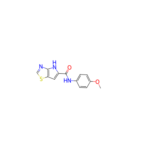 COc1ccc(NC(=O)c2cc3scnc3[nH]2)cc1